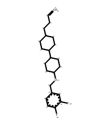 C=CCCC1CCC(C2CCC(OCc3ccc(F)c(F)c3)CC2)CC1